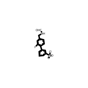 O=CNCc1ccc(-c2cccc(S(=O)(=O)Cl)c2)c(F)c1